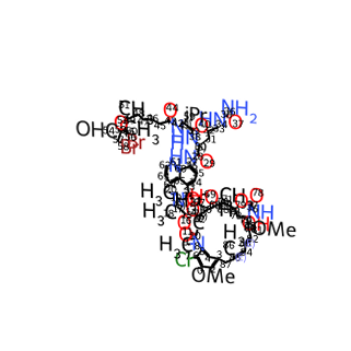 COc1cc2cc(c1Cl)N(C)C(=O)C[C@H](OC(=O)[C@H](C)N(C)C(=O)c1ccc(NC(=O)[C@H](CCCNC(N)=O)NC(=O)[C@@H](NC(=O)CCCCC(C)(C)OC(C=O)(CBr)CBr)C(C)C)c3ncccc13)C(C)[C@@H](O)[C@H](C)[C@@H]1C[C@@](O)(NC(=O)O1)[C@H](OC)/C=C/C=C(\C)C2